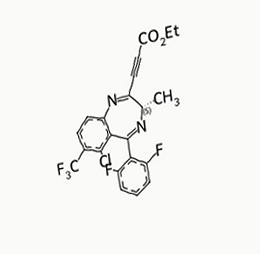 CCOC(=O)C#CC1=Nc2ccc(C(F)(F)F)c(Cl)c2C(c2c(F)cccc2F)=N[C@H]1C